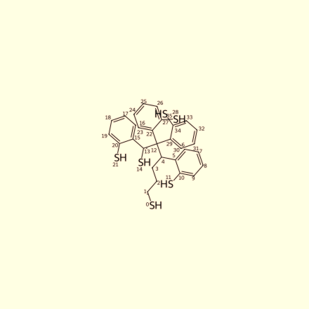 S[CH]CCC(c1ccccc1S)C([C](S)c1ccccc1S)(c1ccccc1S)c1ccccc1S